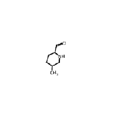 CC1CCC(C=O)NC1